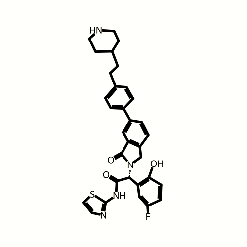 O=C(Nc1nccs1)[C@@H](c1cc(F)ccc1O)N1Cc2ccc(-c3ccc(CCC4CCNCC4)cc3)cc2C1=O